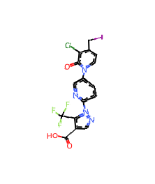 O=C(O)c1cnn(-c2ccc(-n3ccc(CI)c(Cl)c3=O)cn2)c1C(F)(F)F